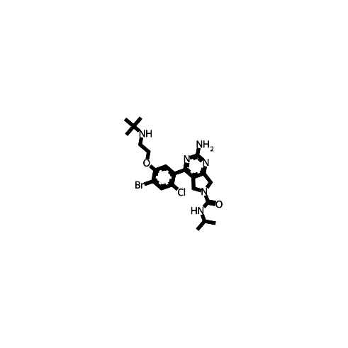 CC(C)NC(=O)N1Cc2nc(N)nc(-c3cc(OCCNC(C)(C)C)c(Br)cc3Cl)c2C1